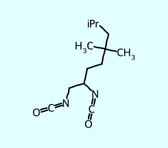 CC(C)CC(C)(C)CCC(CN=C=O)N=C=O